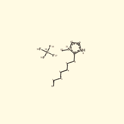 CCCCCCCc1[nH]cc[n+]1C.F[B-](F)(F)F